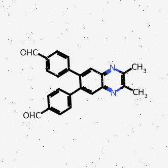 Cc1nc2cc(-c3ccc(C=O)cc3)c(-c3ccc(C=O)cc3)cc2nc1C